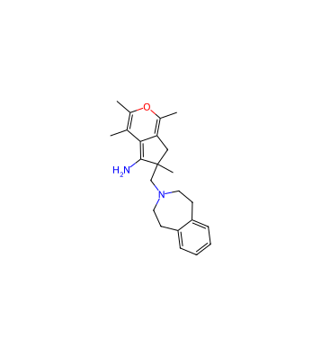 CC1=C(C)C2=C(N)C(C)(CN3CCc4ccccc4CC3)CC2=C(C)O1